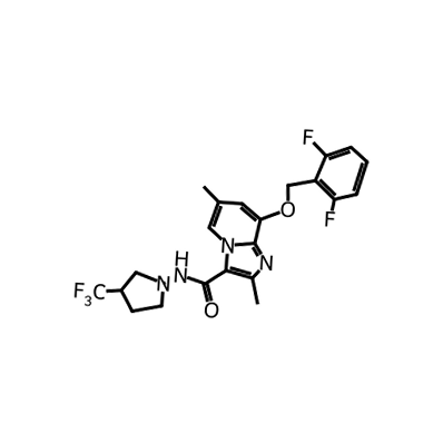 Cc1cc(OCc2c(F)cccc2F)c2nc(C)c(C(=O)NN3CCC(C(F)(F)F)C3)n2c1